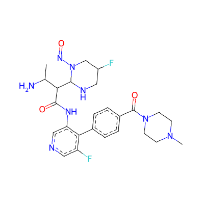 CC(N)C(C(=O)Nc1cncc(F)c1-c1ccc(C(=O)N2CCN(C)CC2)cc1)C1NCC(F)CN1N=O